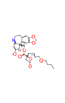 CCCCOC/C=C/C[C@]1(C(=O)O[C@@H]2C(OC)=C[C@]34CCCN3CCc3cc5c(cc3[C@H]24)OCO5)CC(=O)O1